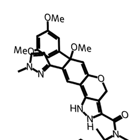 COc1cc(OC)cc(C2(OC)C=C3OCC4=C(C(=O)N(C)C(C)(C)CCO)NNC4=C3C=C2c2ccn(C)n2)c1